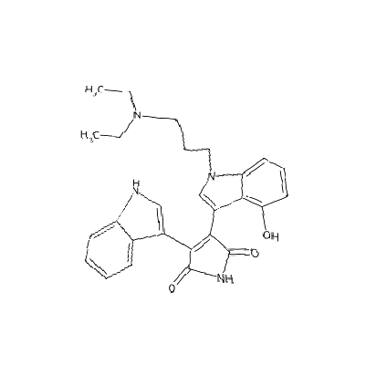 CCN(CC)CCCn1cc(C2=C(c3c[nH]c4ccccc34)C(=O)NC2=O)c2c(O)cccc21